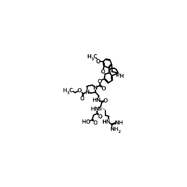 CCOC(=O)N1CCN(C(=O)OC2=CC=C3[C@@H]4CCC[C@@]35c3c(ccc(OC)c3OC25)C4)C(CNC(=O)[C@H](CCCNC(=N)N)NC(=O)CC(=O)O)C1